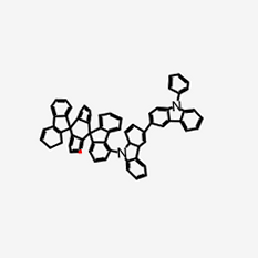 C1=CC2=C(CC1)C1(c3ccccc32)c2ccccc2C2(c3ccccc3-c3c(N4c5ccccc5C5C=C(c6ccc7c(c6)c6ccccc6n7-c6ccccc6)C=CC54)cccc32)c2ccccc21